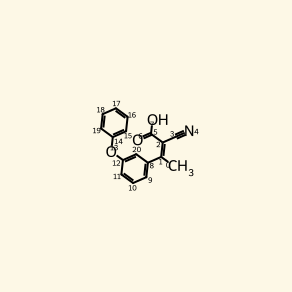 CC(=C(C#N)C(=O)O)c1cccc(Oc2ccccc2)c1